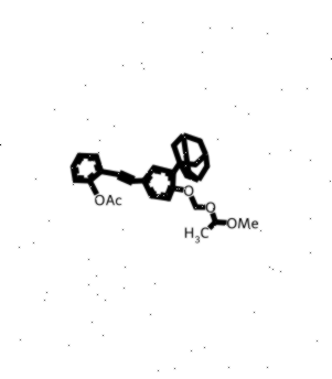 COC(C)OCOc1ccc(C#Cc2ccccc2OC(C)=O)cc1C12CC3CC(CC(C3)C1)C2